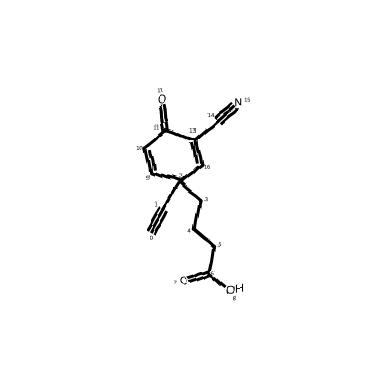 C#CC1(CCCC(=O)O)C=CC(=O)C(C#N)=C1